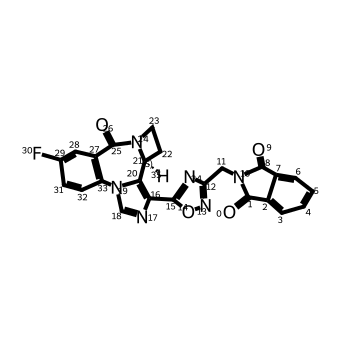 O=C1c2ccccc2C(=O)N1Cc1noc(-c2ncn3c2[C@@H]2CCN2C(=O)c2cc(F)ccc2-3)n1